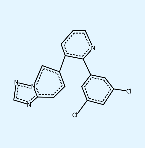 Clc1cc(Cl)cc(-c2ncccc2-c2ccc3ncnn3c2)c1